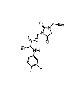 C#CCN1CC(=O)N(COC(=O)C(Nc2ccc(C)c(F)c2)C(C)C)C1=O